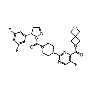 O=C(c1nc(N2CCN(C(=O)N3N=CC[C@H]3c3cc(F)cc(F)c3)CC2)ncc1F)N1CC2(COC2)C1